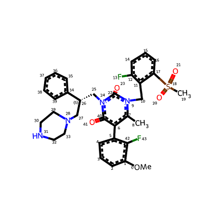 COc1cccc(-c2c(C)n(Cc3c(F)cccc3S(C)(=O)=O)c(=O)n(C[C@H](CN3CCNCC3)c3ccccc3)c2=O)c1F